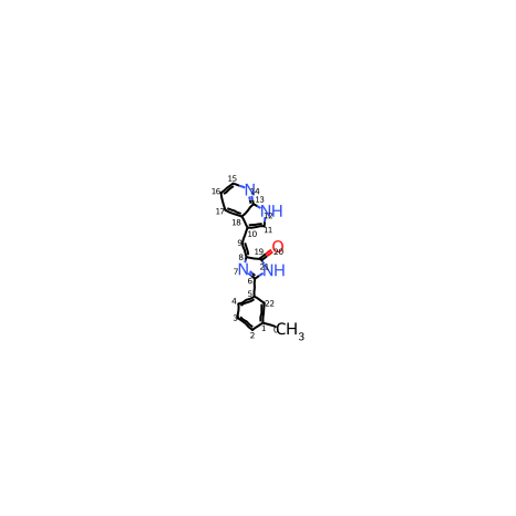 Cc1cccc(C2=NC(=Cc3c[nH]c4ncccc34)C(=O)N2)c1